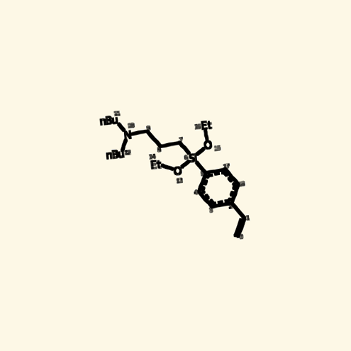 C=Cc1ccc([Si](CCCN(CCCC)CCCC)(OCC)OCC)cc1